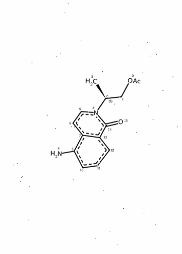 CC(=O)OC[C@H](C)n1ccc2c(N)cccc2c1=O